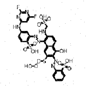 O=S(=O)(O)CNc1ccc2c(O)c(/N=N/c3ccccc3S(=O)(=O)O)c(SOOO)cc2c1/N=N/c1cc(Nc2cc(F)nc(F)n2)ccc1S(=O)(=O)O